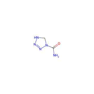 NC(=O)N1CNN=N1